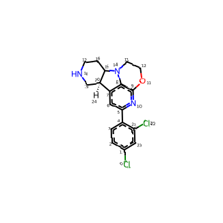 Clc1ccc(-c2cc3c4c(n2)OCCN4C2CCNC[C@H]32)c(Cl)c1